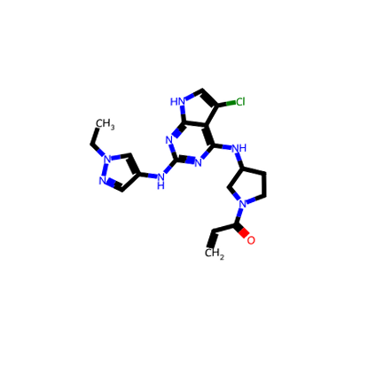 C=CC(=O)N1CCC(Nc2nc(Nc3cnn(CC)c3)nc3[nH]cc(Cl)c23)C1